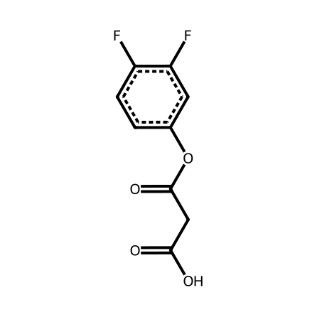 O=C(O)CC(=O)Oc1ccc(F)c(F)c1